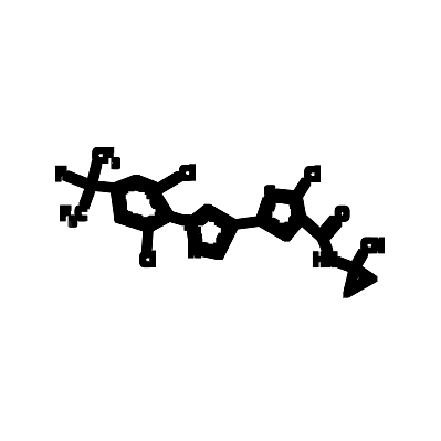 N#CC1(NC(=O)c2cc(-c3cnn(-c4c(Cl)cc(C(F)(C(F)(F)F)C(F)(F)F)cc4Cl)c3)sc2Cl)CC1